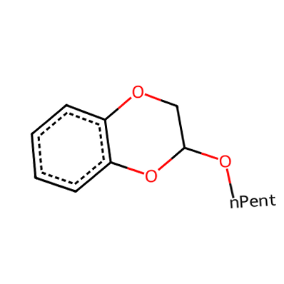 [CH2]CCCCOC1COc2ccccc2O1